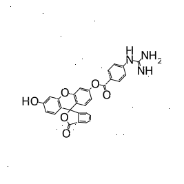 N=C(N)Nc1ccc(C(=O)Oc2ccc3c(c2)Oc2cc(O)ccc2C32OC(=O)c3ccccc32)cc1